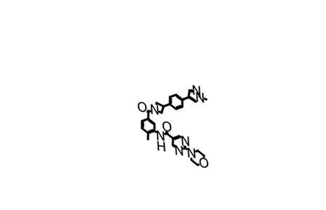 Cc1ccc(C(=O)N2CC(c3ccc(-c4cnn(C)c4)cc3)C2)cc1NC(=O)c1cnc(N2CCOCC2)nc1